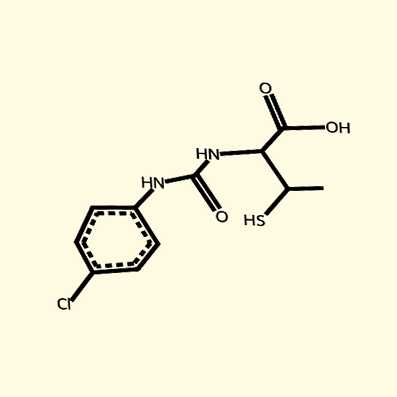 CC(S)C(NC(=O)Nc1ccc(Cl)cc1)C(=O)O